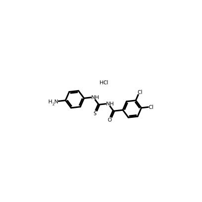 Cl.Nc1ccc(NC(=S)NC(=O)c2ccc(Cl)c(Cl)c2)cc1